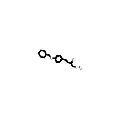 CCC(=O)C=Cc1ccc(OCC2CCCCC2)cc1